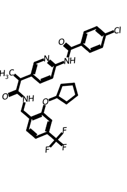 CC(C(=O)NCc1ccc(C(F)(F)F)cc1OC1CCCC1)c1ccc(NC(=O)c2ccc(Cl)cc2)nc1